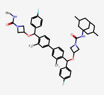 CC1CC2CC(C)CC(NC(=O)N3CC(OC(c4ccc(F)cc4)c4ccc(-c5ccc(C(OC6CN(C(=O)NC(C)(C)C)C6)c6ccc(F)cc6)c(C(F)(F)F)c5)cc4C(F)(F)F)C3)(C1)C2